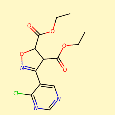 CCOC(=O)C1ON=C(c2cncnc2Cl)C1C(=O)OCC